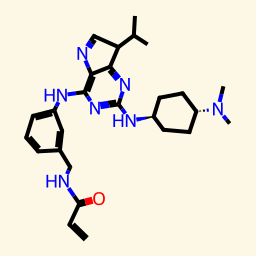 C=CC(=O)NCc1cccc(Nc2nc(N[C@H]3CC[C@H](N(C)C)CC3)nc3c2N=CC3C(C)C)c1